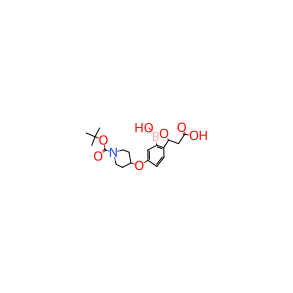 CC(C)(C)OC(=O)N1CCC(Oc2ccc3c(c2)B(O)OC3CC(=O)O)CC1